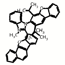 Cc1ccc2c(oc3c4ccccc4ccc23)c1-c1n(-c2c(C(C)C)cc3c(oc4ccccc43)c2C(C)C)c2ccccc2[n+]1C